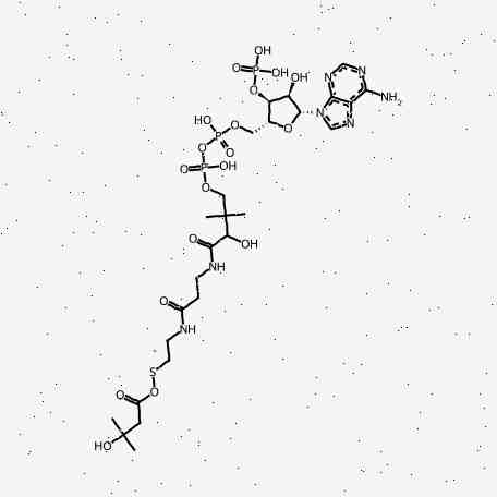 CC(C)(O)CC(=O)OSCCNC(=O)CCNC(=O)C(O)C(C)(C)COP(=O)(O)OP(=O)(O)OC[C@H]1O[C@@H](n2cnc3c(N)ncnc32)[C@H](O)[C@@H]1OP(=O)(O)O